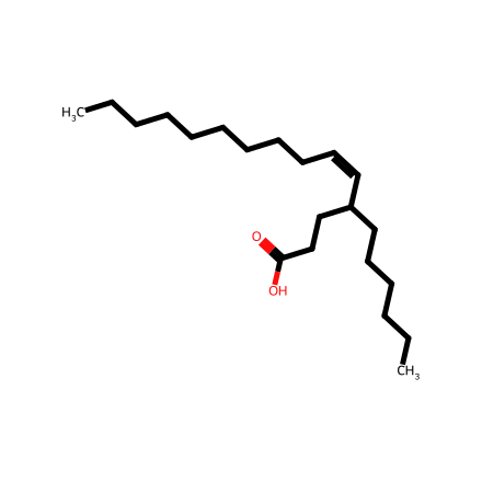 CCCCCCCCC/C=C\C(CCCCCC)CCC(=O)O